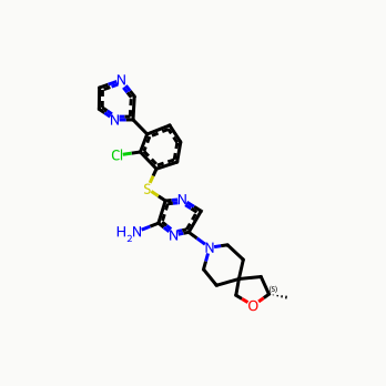 C[C@H]1CC2(CCN(c3cnc(Sc4cccc(-c5cnccn5)c4Cl)c(N)n3)CC2)CO1